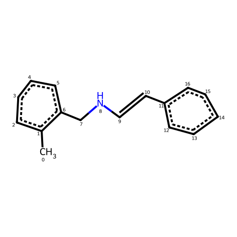 Cc1ccccc1CNC=Cc1ccccc1